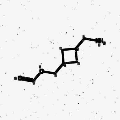 NCC1CC(COC=O)C1